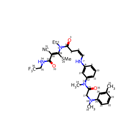 CCN(C(=O)C/C=C\Nc1cccc(N(C)C(=O)CN(C)c2cccc(C)c2)c1)/C(SC)=C(\C#N)C(=O)NCC(F)(F)F